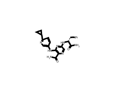 CC(C)C[C@@H](Nc1cnc(C(N)=O)c(Nc2ccc(C3CC3)nc2)n1)C(N)=O